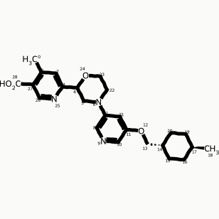 Cc1cc(C2CN(c3cncc(OC[C@H]4CC[C@H](C)CC4)c3)CCO2)ncc1C(=O)O